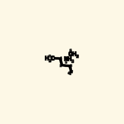 CCCCF.N.O